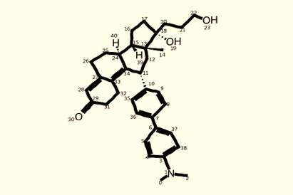 CN(C)c1ccc(-c2ccc([C@H]3C[C@]4(C)[C@@H](CC[C@@]4(O)CCCO)[C@@H]4CCC5=CC(=O)CCC5=C43)cc2)cc1